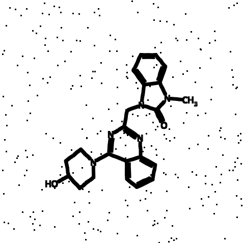 Cn1c(=O)n(Cc2nc(N3CCC(O)CC3)c3ccccc3n2)c2ccccc21